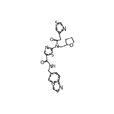 O=C(NCc1ccc2nccn2c1)c1cnc(N(CC2CCCO2)C(=O)Cc2cscn2)s1